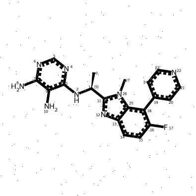 C[C@H](Nc1ncnc(N)c1N)c1nc2ccc(F)c(-c3ccncc3)c2n1C